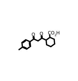 Cc1ccc(C(=O)CC(=O)C2CCCCC2C(=O)O)cc1